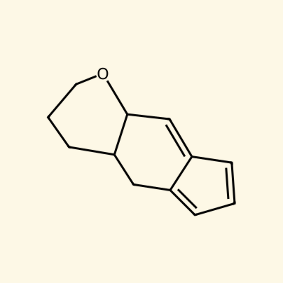 C1=CC2=CC3OCCCC3CC2=C1